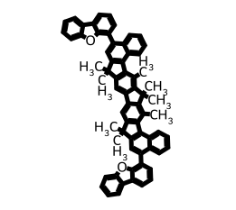 Cc1c2c(cc3c1C(C)(C)c1c-3cc3c(c1C)-c1c(cc(-c4cccc5c4oc4ccccc45)c4ccccc14)C3(C)C)C(C)(C)c1cc(-c3cccc4c3oc3ccccc34)c3ccccc3c1-2